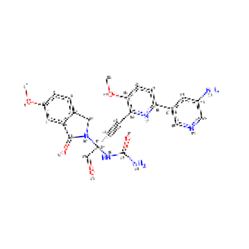 COc1ccc2c(c1)C(=O)N([C@](C#Cc1nc(-c3cncc(N)c3)ccc1OC)(C=O)NC(N)=O)C2